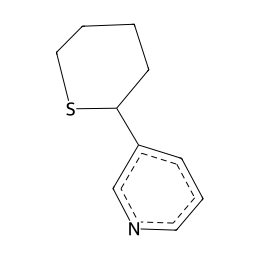 c1cncc(C2CCCCS2)c1